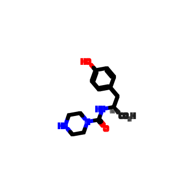 O=C(O)[C@H](Cc1ccc(O)cc1)NC(=O)N1CCNCC1